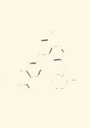 Cc1nc(Nc2cc(N[C@@H]3CCCC[C@@H]3N)cnc2C(N)=O)ccc1C(=O)N(C)C